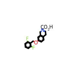 O=C(O)N1CCc2ccc(OCc3c(F)cccc3F)cc2C1